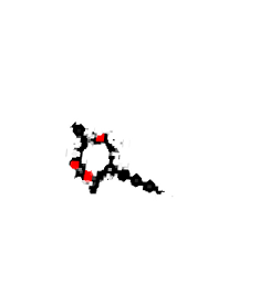 CCCCCOc1ccc(-c2ccc(-c3ccc(C(=O)N[C@H]4C[C@@H](O)[C@@H](O[C@H](C)C[N+](C)(C)C)NC(=O)[C@@H]5[C@@H](O)[C@@H](C)CN5C(=O)[C@H]([C@@H](C)O)NC(=O)[C@H]([C@H](O)[C@@H](O)c5ccc(O)cc5)NC(=O)[C@@H]5C[C@@H](O)CN5C(=O)[C@H]([C@@H](C)O)NC4=O)cc3)cc2)cc1